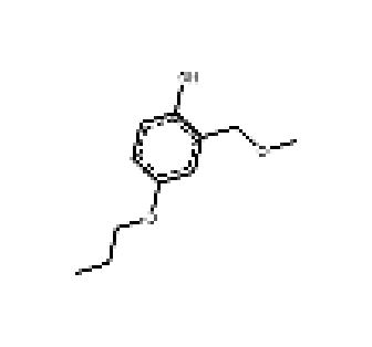 CCCOc1ccc(O)c(COC)c1